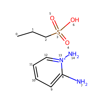 CCCS(=O)(=O)O.Nc1cccc[n+]1N